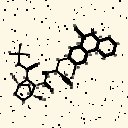 CC(C)(C)OC(=O)N1[C@@H]2CC[C@@H](C2)[C@H]1C(=O)N[C@H](C#N)Cc1cc2c(=O)[nH]c3ccccc3c2cc1F